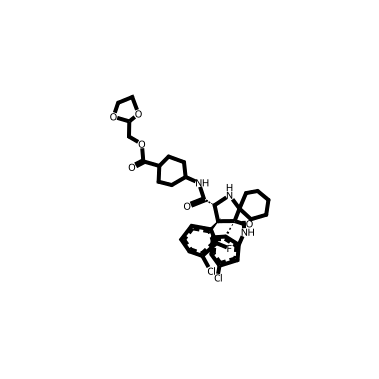 O=C(OCC1OCCO1)C1CCC(NC(=O)[C@@H]2NC3(CCCCC3)[C@@]3(C(=O)Nc4cc(Cl)ccc43)[C@H]2c2cccc(Cl)c2F)CC1